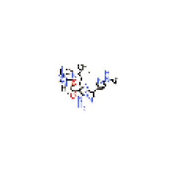 CCC(CCc1nc2c(-c3ccc(NC4CC4)nc3)cnn2c(N)c1C(C)=O)N(CC)C(=O)c1ncn[nH]1